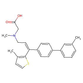 Cc1cccc(-c2ccc(C(=CCN(C)CC(=O)O)c3sccc3C)cc2)c1